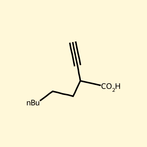 [C]#CC(CCCCCC)C(=O)O